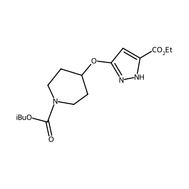 CCOC(=O)c1cc(OC2CCN(C(=O)OCC(C)C)CC2)n[nH]1